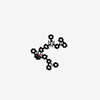 c1ccc(-c2nc(-c3ccc(-c4ccc(-n5c6ccccc6c6ccccc65)c(-n5c6ccccc6c6cc(-c7ccc8c(c7)c7ccccc7n8-c7ccccc7)ccc65)c4)cc3)nc(-c3cccc(-n4c5ccccc5c5ccccc54)c3)n2)cc1